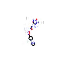 C[C@H]1CCCN1c1ccc(-c2nnc(NC(=O)[C@H](C)n3cnc4c3c(=O)n(C)c(=O)n4C)o2)cc1F